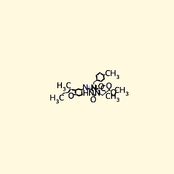 CCc1oc2ccc(/N=c3\[nH]c(=O)n(CC(C)(C)C(=O)OC)c(=O)n3Cc3ccc(C)cc3)cc2c1C